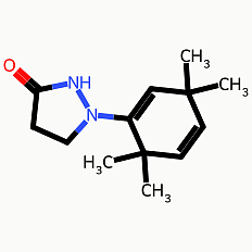 CC1(C)C=CC(C)(C)C(N2CCC(=O)N2)=C1